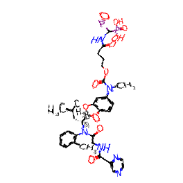 Cc1ccccc1N(C(=O)CNC(=O)c1cnccn1)[C@H](CC(C)C)B1Oc2ccc(N(C)C(=O)OCCCC(=O)NC(P=O)P(=O)(O)O)cc2O1